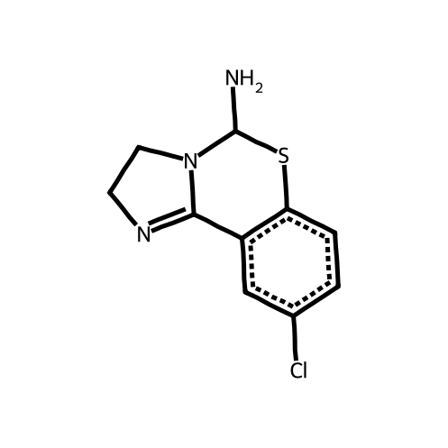 NC1Sc2ccc(Cl)cc2C2=NCCN21